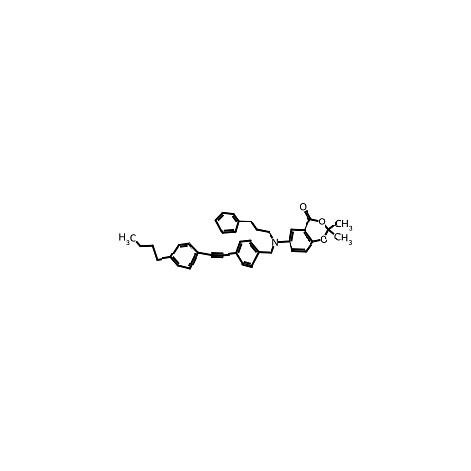 CCCCc1ccc(C#Cc2ccc(CN(CCCc3ccccc3)c3ccc4c(c3)C(=O)OC(C)(C)O4)cc2)cc1